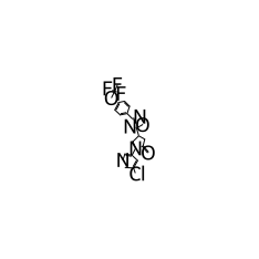 O=C1CC(c2nc(-c3ccc(OC(F)(F)F)cc3)no2)CN1c1cncc(Cl)c1